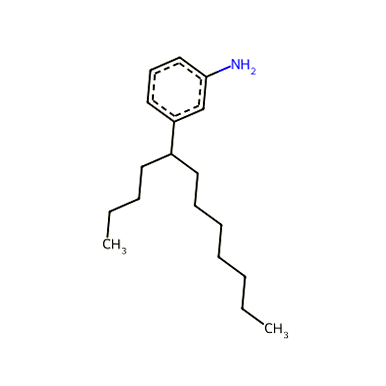 CCCCCCCC(CCCC)c1cccc(N)c1